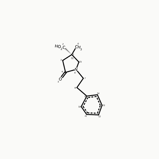 C[C@]1(C(=O)O)CC(=O)N(CCc2ccccc2)C1